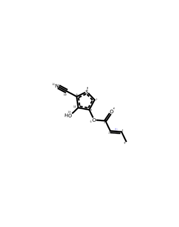 C/C=C/C(=O)Oc1csc(C#N)c1O